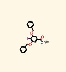 COC(=O)c1cc(OCc2ccccc2)c(I)c(OCc2ccccc2)c1